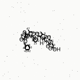 CC(C)[C@H](NC(=O)CN1C(=O)CN(CC(=O)O)C1=O)C(=O)N1CCC[C@H]1C(=O)N[C@H](C(=O)C(F)(F)C(=O)OCc1ccccc1)C(C)C